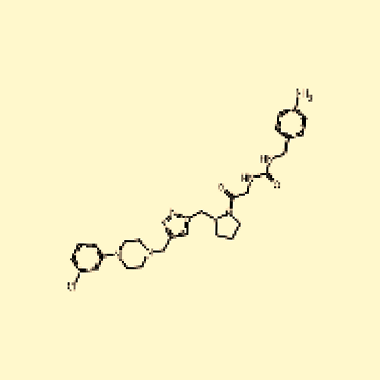 Nc1ccc(CNC(=O)NCC(=O)N2CCCC2Cn2cc(CN3CCN(c4cccc(Cl)c4)CC3)nn2)cc1